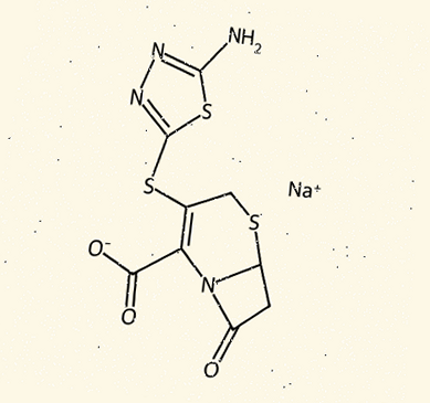 Nc1nnc(SC2=C(C(=O)[O-])N3C(=O)CC3SC2)s1.[Na+]